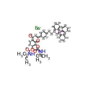 CC(C)NC(=O)Oc1ccc2c(=O)cc(-c3ccc(CCCC[P+](c4ccccc4)(c4ccccc4)c4ccccc4)cc3)oc2c1OC(=O)NC(C)C.[Br-]